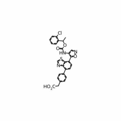 CC(OC(=O)Nc1cnoc1-c1ccc(-c2ccc(CC(=O)O)cc2)c2ncsc12)c1ccccc1Cl